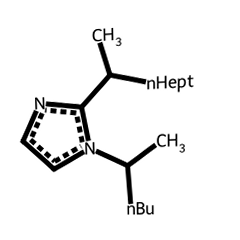 CCCCCCCC(C)c1nccn1C(C)CCCC